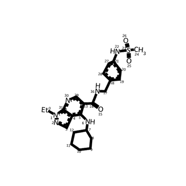 CCn1ncc2c(NC3CCCCC3)c(C(=O)NCc3ccc(NS(C)(=O)=O)cc3)cnc21